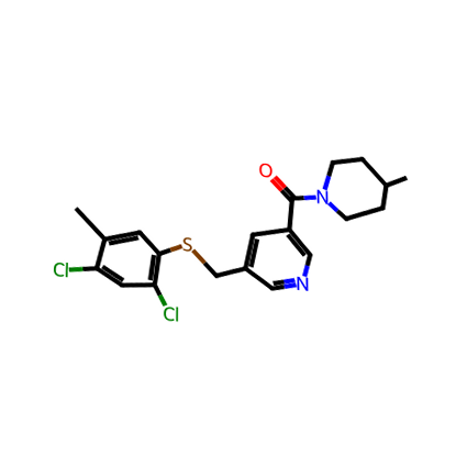 Cc1cc(SCc2cncc(C(=O)N3CCC(C)CC3)c2)c(Cl)cc1Cl